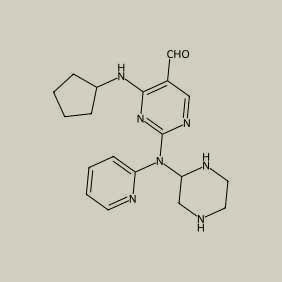 O=Cc1cnc(N(c2ccccn2)C2CNCCN2)nc1NC1CCCC1